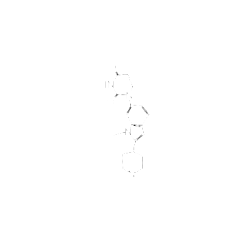 Cn1c(C2CCNCC2)cc2ccc(N3CCC(=O)NC3=O)cc21